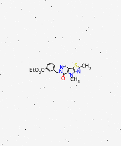 CCOC(=O)c1cccc(Cn2ncc3c4sc(C)nc4n(C)c3c2=O)c1